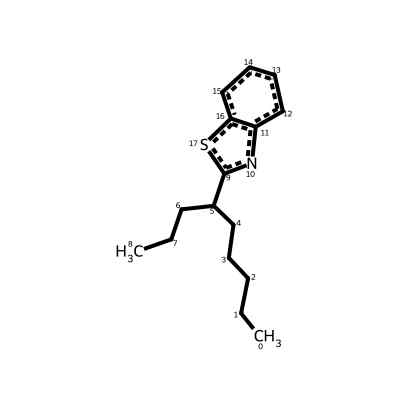 CCCCCC(CCC)c1nc2ccccc2s1